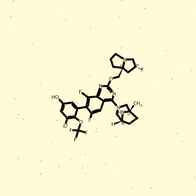 C[C@]12CC[C@H](CN(c3nc(OC[C@@]45CCCN4C[C@H](F)C5)nc4c(F)c(-c5cc(O)cc(Cl)c5OC(F)(F)F)c(F)cc34)C1)N2